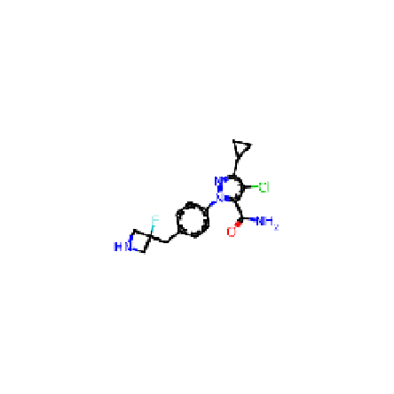 NC(=O)c1c(Cl)c(C2CC2)nn1-c1ccc(CC2(F)CNC2)cc1